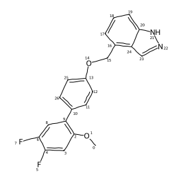 COc1cc(F)c(F)cc1-c1ccc(OCc2cccc3[nH]ncc23)cc1